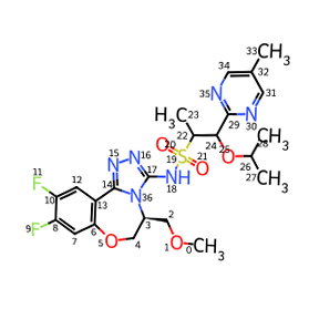 COC[C@H]1COc2cc(F)c(F)cc2-c2nnc(NS(=O)(=O)C(C)C(OC(C)C)c3ncc(C)cn3)n21